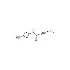 CC#CC(=O)NC1CC(S)C1